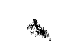 C#CC(C)(N)[C@@H](O[C@@H](O)COP(=O)(N[C@@H](C)C(=O)OC(C)C)Oc1ccccc1)n1cnc2c(=O)[nH]c(N)nc21